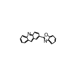 c1ccc2nc3ccc(-c4nc5ccccc5o4)cc3cc2c1